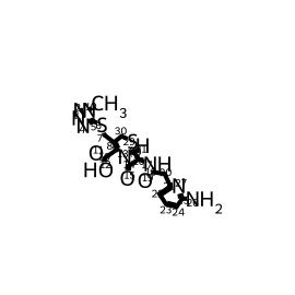 Cn1nnnc1SCC1=C(C(=O)O)N2C(=O)C(NC(=O)Cc3cccc(N)n3)[C@H]2SC1